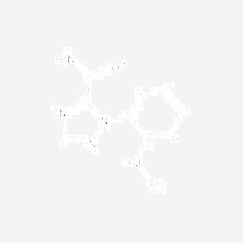 NC(=O)c1ncnn1-c1ccccc1OC(F)(F)F